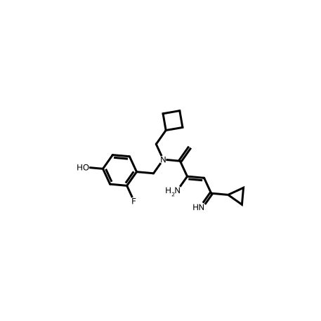 C=C(/C(N)=C/C(=N)C1CC1)N(Cc1ccc(O)cc1F)CC1CCC1